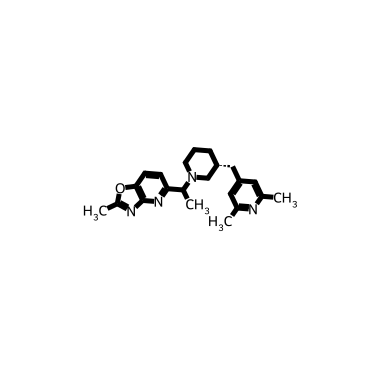 Cc1cc(C[C@H]2CCCN(C(C)c3ccc4oc(C)nc4n3)C2)cc(C)n1